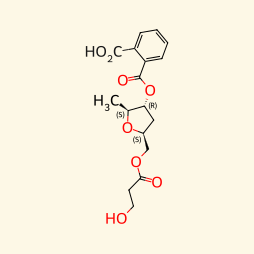 C[C@@H]1O[C@H](COC(=O)CCO)C[C@H]1OC(=O)c1ccccc1C(=O)O